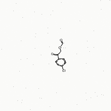 O=[C]OCC(=O)c1ccc(Cl)cc1